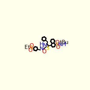 CCS(=O)(=O)c1ccc(CNC(=O)c2nc(Cc3ccccc3)c(-c3ccc(S(=O)(=O)NC(C)(C)C)c4ccccc34)s2)cc1